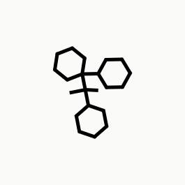 CC(C)(C1CCCCC1)C1(C2CCCCC2)CCCCC1